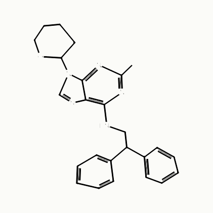 Cc1nc(NCC(c2ccccc2)c2ccccc2)c2ncn(C3CCCCO3)c2n1